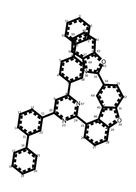 c1ccc(-c2ccc(-c3cc(-c4cccc(-c5ccccc5)c4)nc(-c4cccc5oc6ccc(-c7nc8ccccc8o7)cc6c45)n3)cc2)cc1